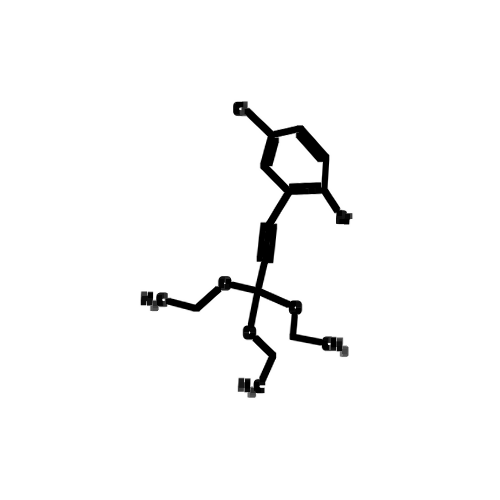 CCOC(C#Cc1cc(Cl)ccc1Br)(OCC)OCC